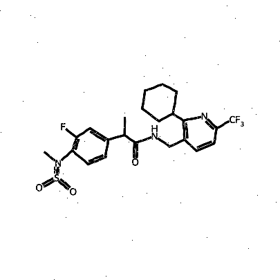 CC(C(=O)NCc1ccc(C(F)(F)F)nc1C1CCCCC1)c1ccc(N(C)[SH](=O)=O)c(F)c1